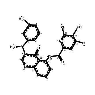 Cc1cccc([C@H](C)n2cnc3cccc(NC(=O)c4cc(Cl)c(O)c(Cl)n4)c3c2=O)c1